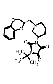 CC(C)(C)N1C(=O)C(=O)N([C@H]2CCCN(C[C@H]3COc4ccccc4O3)C2)C1=O